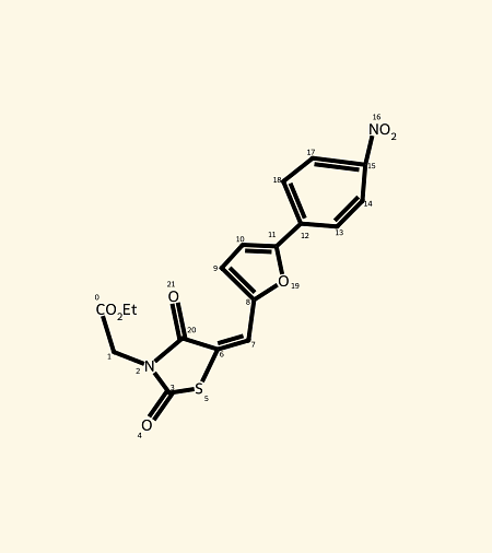 CCOC(=O)CN1C(=O)S/C(=C/c2ccc(-c3ccc([N+](=O)[O-])cc3)o2)C1=O